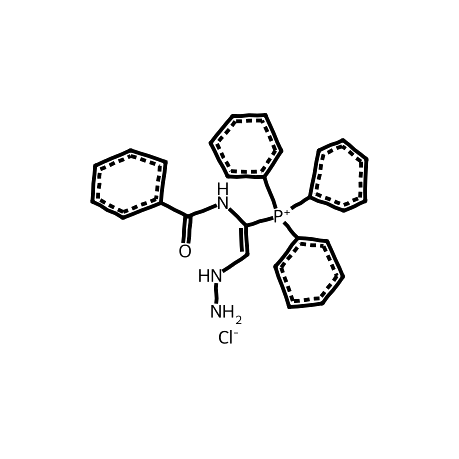 NNC=C(NC(=O)c1ccccc1)[P+](c1ccccc1)(c1ccccc1)c1ccccc1.[Cl-]